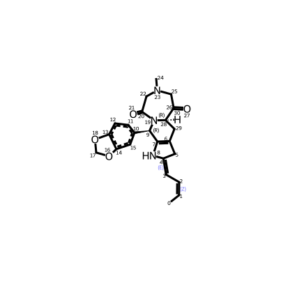 C/C=C\C=C1/CC2=C(N1)[C@@H](c1ccc3c(c1)OCO3)N1C(=O)CN(C)CC(=O)[C@H]1C2